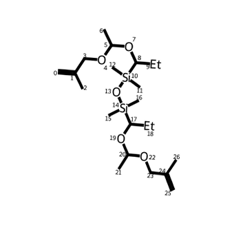 C=C(C)COC(C)OC(CC)[Si](C)(C)O[Si](C)(C)C(CC)OC(C)OCC(=C)C